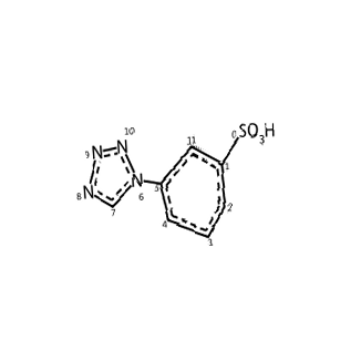 O=S(=O)(O)c1cccc(-n2cnnn2)c1